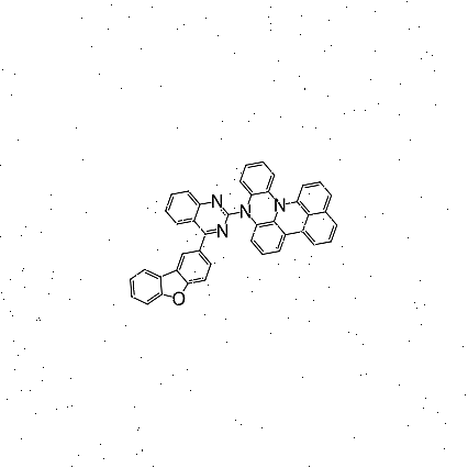 c1ccc2c(-c3ccc4oc5ccccc5c4c3)nc(-n3c4cccc5c4-n(c4cccc6cccc5c64)c4ccccc43)nc2c1